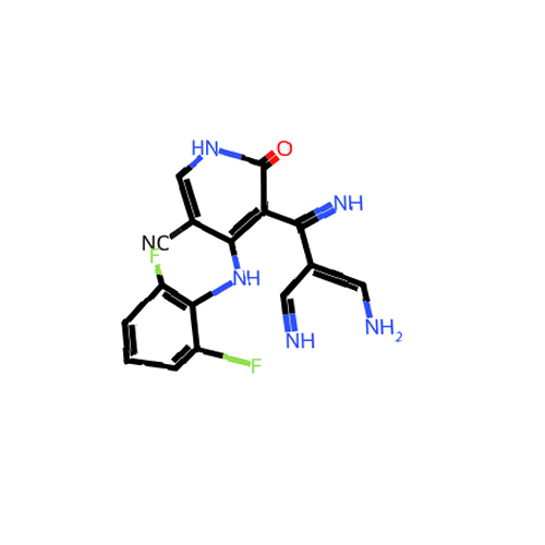 N#Cc1c[nH]c(=O)c(C(=N)/C(C=N)=C/N)c1Nc1c(F)cccc1F